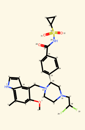 COc1cc(C)c2[nH]ccc2c1CN1CCN(CC(F)F)C[C@H]1c1ccc(C(=O)NS(=O)(=O)C2CC2)cc1